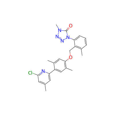 Cc1cc(Cl)nc(-c2cc(C)c(OCc3c(C)cccc3-n3nnn(C)c3=O)cc2C)c1